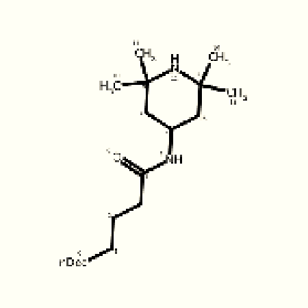 CCCCCCCCCCCCCC(=O)NC1CC(C)(C)NC(C)(C)C1